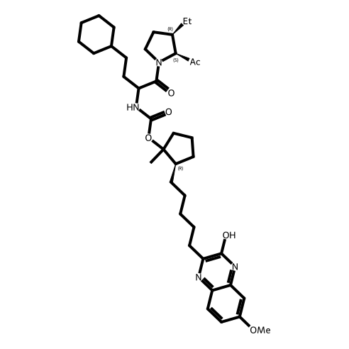 CC[C@@H]1CCN(C(=O)C(CCC2CCCCC2)NC(=O)OC2(C)CCC[C@H]2CCCCCc2nc3ccc(OC)cc3nc2O)[C@@H]1C(C)=O